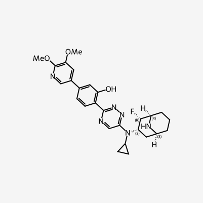 COc1cc(-c2ccc(-c3ncc(N(C4CC4)[C@H]4C[C@@H]5CCC[C@@H](N5)[C@H]4F)nn3)c(O)c2)cnc1OC